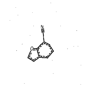 N#Cc1cccc2ccoc12